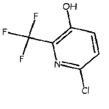 Oc1ccc(Cl)nc1C(F)(F)F